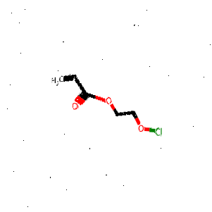 C=CC(=O)OCCOCl